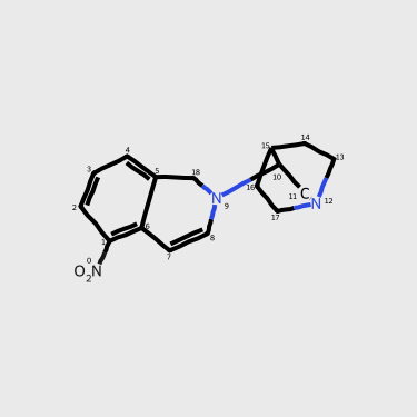 O=[N+]([O-])c1cccc2c1C=CN(C1CN3CCC1CC3)C2